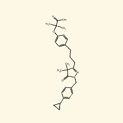 CC(C)(Oc1ccc(CCCC2=NN(Cc3ccc(C4CC4)cc3)C(=O)C2(C)C)cc1)C(=O)O